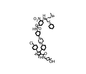 Cc1c(C(=O)NC2CC(C)(O)C2)c(-c2cccc(N3CCN(c4ccc(NS(=O)(=O)c5ccc(N[C@H](CCN(C)C)CSc6ccccc6)c([N+](=O)[O-])c5)cc4)CC3)c2)c(-c2ccc(Cl)cc2)n1C